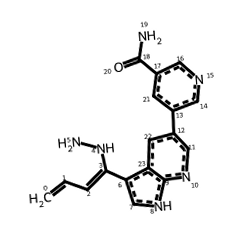 C=C/C=C(\NN)c1c[nH]c2ncc(-c3cncc(C(N)=O)c3)cc12